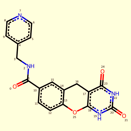 O=C(NCc1ccncc1)c1ccc2c(c1)Cc1c([nH]c(=O)[nH]c1=O)O2